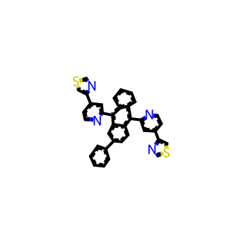 c1ccc(-c2ccc3c(-c4cc(-c5cscn5)ccn4)c4ccccc4c(-c4cc(-c5cscn5)ccn4)c3c2)cc1